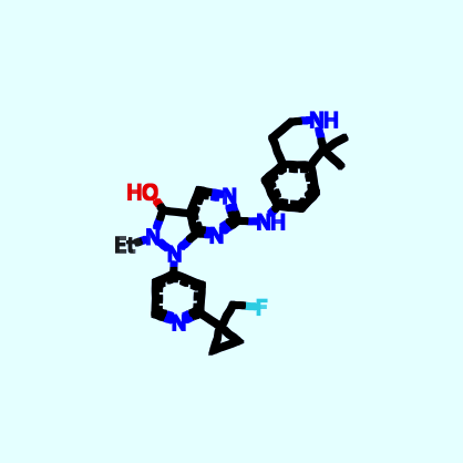 CCN1C(O)c2cnc(Nc3ccc4c(c3)CCNC4(C)C)nc2N1c1ccnc(C2(CF)CC2)c1